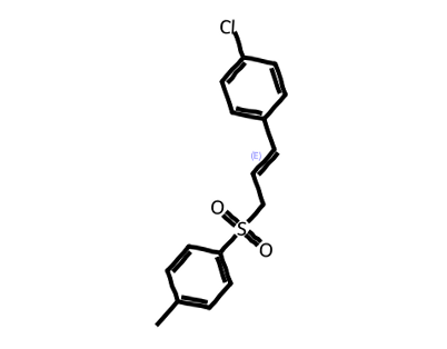 Cc1ccc(S(=O)(=O)C/C=C/c2ccc(Cl)cc2)cc1